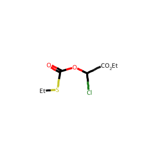 CCOC(=O)C(Cl)OC(=O)SCC